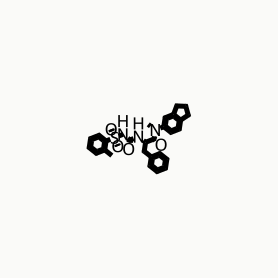 Cc1ccccc1S(=O)(=O)NC(=O)NC(Cc1ccccc1)C(=O)N(C)c1ccc2c(c1)CCC2